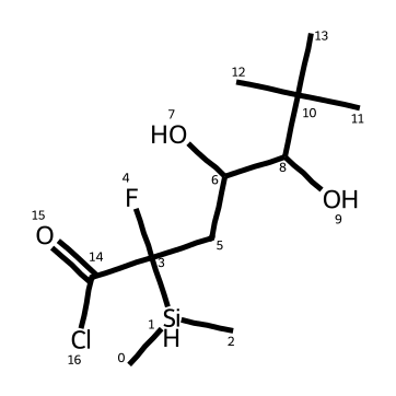 C[SiH](C)C(F)(CC(O)C(O)C(C)(C)C)C(=O)Cl